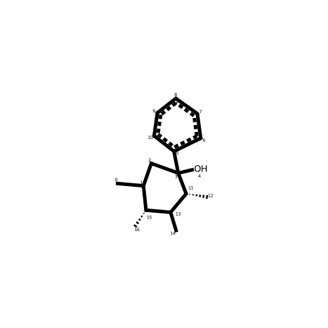 CC1CC(O)(c2ccccc2)[C@H](C)C(C)[C@@H]1C